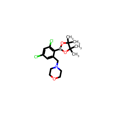 CC1(C)OB(c2c(Cl)cc(Cl)cc2CN2CCOCC2)OC1(C)C